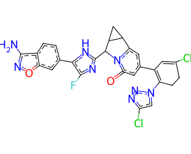 Nc1noc2cc(-c3[nH]c(C4C5CC5c5cc(C6=C(n7cc(Cl)nn7)CCC(Cl)=C6)cc(=O)n54)nc3F)ccc12